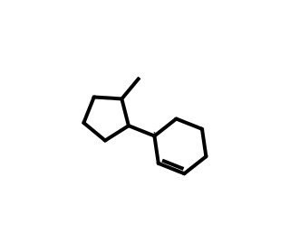 CC1CCCC1[C]1C=CCCC1